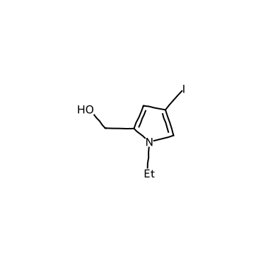 [CH2]Cn1cc(I)cc1CO